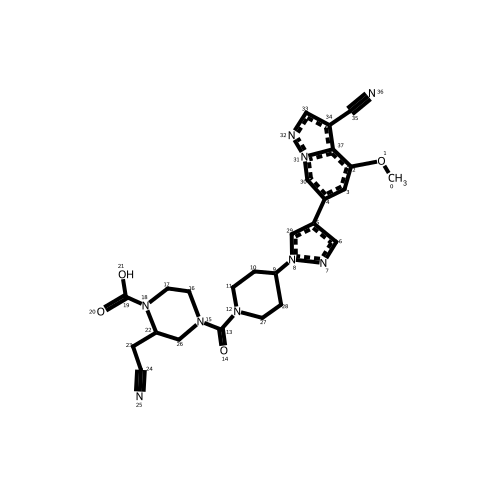 COc1cc(-c2cnn(C3CCN(C(=O)N4CCN(C(=O)O)C(CC#N)C4)CC3)c2)cn2ncc(C#N)c12